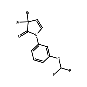 O=C1N(c2cccc(OC(F)F)c2)C=CC1(Br)Br